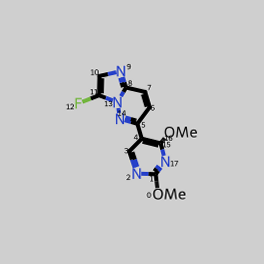 COc1ncc(-c2ccc3ncc(F)n3n2)c(OC)n1